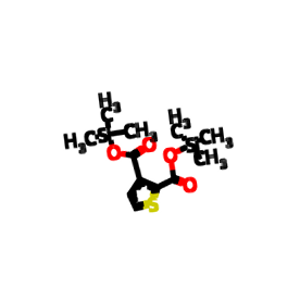 C[Si](C)(C)OC(=O)c1ccsc1C(=O)O[Si](C)(C)C